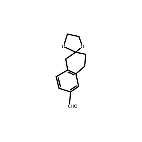 O=Cc1ccc2c(c1)CCC1(C2)OCCO1